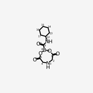 O=C1CNCC(=O)OB(C(=O)NC2CCCCC2)O1